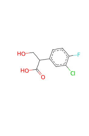 O=C(O)C(CO)c1ccc(F)c(Cl)c1